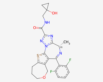 C[C@@H]1N=C(c2c(F)cccc2F)c2c(sc3c2COCCC3)-n2nc(C(=O)NCC3(O)CC3)nc21